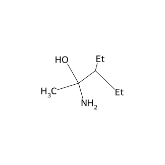 CCC(CC)C(C)(N)O